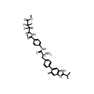 COC(=O)C(F)(F)C(F)(F)c1nnc(-c2ccc(NC(=O)[C@@H](N)Cc3ccc(-c4cc5[nH]c(C(C)C)nc5cc4C)cc3)cc2)[nH]1